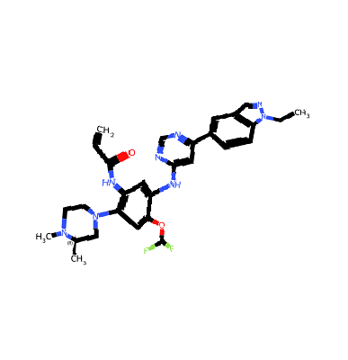 C=CC(=O)Nc1cc(Nc2cc(-c3ccc4c(cnn4CC)c3)ncn2)c(OC(F)F)cc1N1CCN(C)[C@H](C)C1